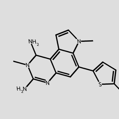 Cc1ccc(-c2cc3c(c4ccn(C)c24)C(N)N(C)C(N)=N3)s1